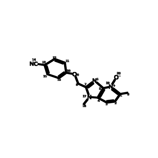 Cc1ccc2c(nc(COc3ccc(C#N)cc3)n2C)[n+]1[O-]